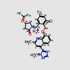 Cc1cc(-c2ncnn2C)c2cccc(OCc3c(Cl)cc(F)cc3[C@H](C)N3CC(OC(F)F)CC3=O)c2n1